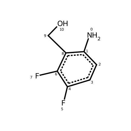 Nc1ccc(F)c(F)c1CO